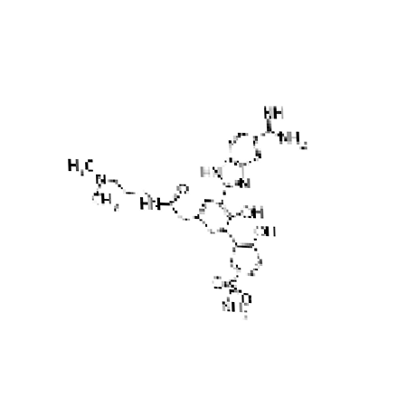 CN(C)CCCNC(=O)Cc1cc(-c2nc3cc(C(=N)N)ccc3[nH]2)c(O)c(-c2cc(S(N)(=O)=O)ccc2O)c1